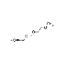 C#CCOCOCCOC